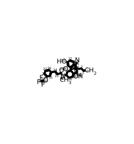 C=CCN1C(C#N)C[C@]23c4c5ccc(O)c4OC2C(N(C)C(=O)/C=C/c2cccc(OC(F)(F)F)c2)CC[C@@]3(O)[C@H]1C5